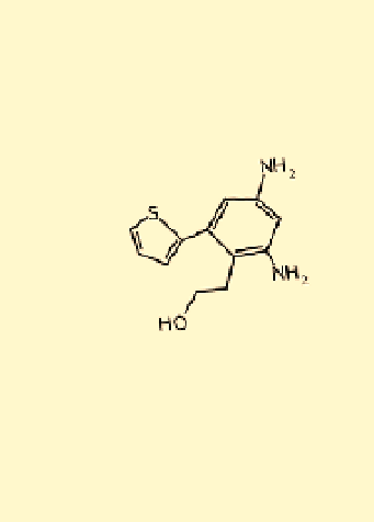 Nc1cc(N)c(CCO)c(-c2cccs2)c1